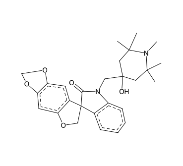 CN1C(C)(C)CC(O)(CN2C(=O)C3(COc4cc5c(cc43)OCO5)c3ccccc32)CC1(C)C